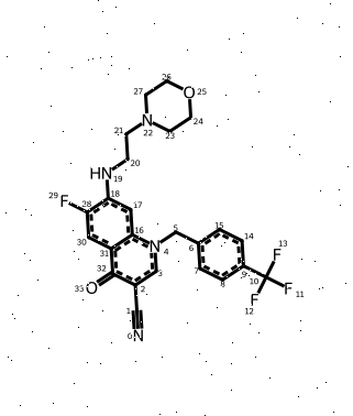 N#Cc1cn(Cc2ccc(C(F)(F)F)cc2)c2cc(NCCN3CCOCC3)c(F)cc2c1=O